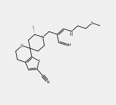 CSCCN/C=C(\C=N)CN1CCC2(C[C@@H]1C)OCCc1cc(C#N)sc12